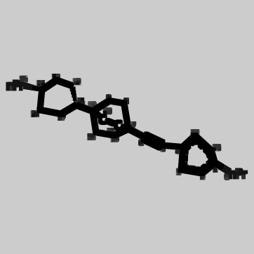 CCCc1ccc(C#CC23CCC([C@H]4CC[C@H](CCC)CC4)(CC2)CC3)cc1